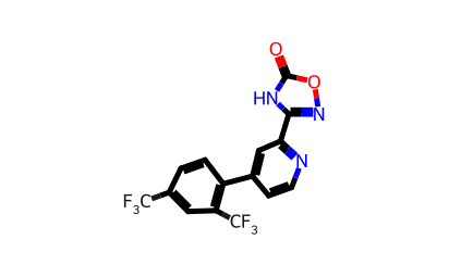 O=c1[nH]c(-c2cc(-c3ccc(C(F)(F)F)cc3C(F)(F)F)ccn2)no1